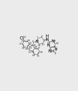 Nc1nc(NC2CCN(CC34CC(c5ccccc53)c3ccc(Cl)cc34)CC2)ncc1F